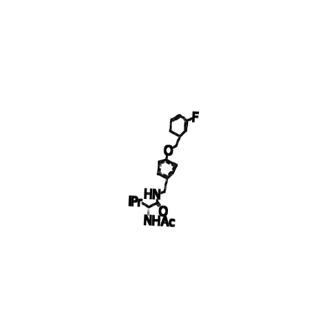 CC(=O)N[C@@H](C(=O)NCc1ccc(OCC2C=C(F)C=CC2)cc1)C(C)C